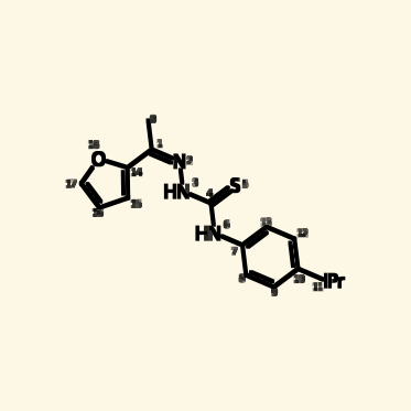 CC(=NNC(=S)Nc1ccc(C(C)C)cc1)c1ccco1